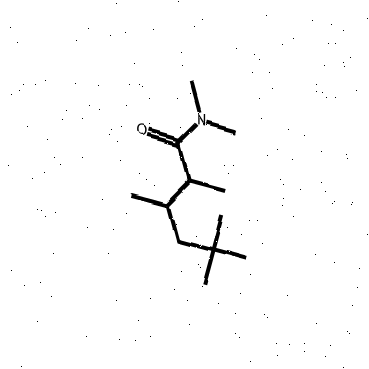 CC(CC(C)(C)C)C(C)C(=O)N(C)C